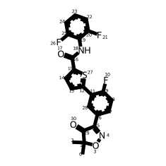 CC1(C)ON=C(c2ccc(F)c(-c3ccc(C(=O)Nc4c(F)cccc4F)s3)c2)C1=O